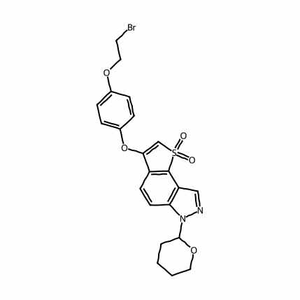 O=S1(=O)C=C(Oc2ccc(OCCBr)cc2)c2ccc3c(cnn3C3CCCCO3)c21